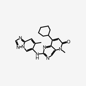 Cc1cc2ncnn2cc1Nc1ncc2c(n1)c(C1CCCCC1)cc(=O)n2C